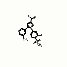 Cc1cccc(-c2cc(C(F)F)nn2-c2ccc(S(C)(=O)=O)c(F)c2)c1